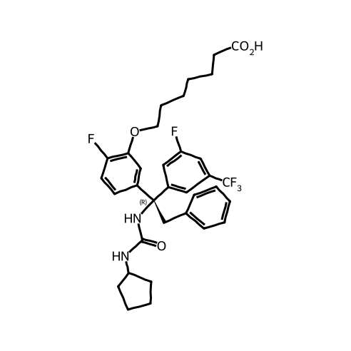 O=C(O)CCCCCCOc1cc([C@@](Cc2ccccc2)(NC(=O)NC2CCCC2)c2cc(F)cc(C(F)(F)F)c2)ccc1F